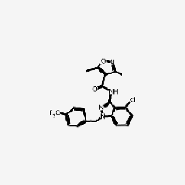 Cc1noc(C)c1C(=O)Nc1nn(Cc2ccc(C(F)(F)F)cc2)c2cccc(Cl)c12